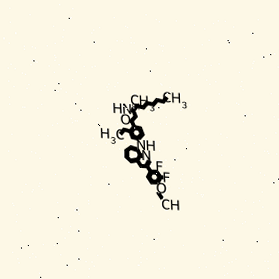 C#CCOc1ccc(C2=CN=C3C(=CC=CC=C3Nc3ccc(C(=O)CC(=N)[C@@H](C)CCCCCC)c(CC)c3)C2)c(F)c1F